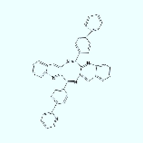 c1ccc(-c2ccc(/C3=N/c4cc5ccccc5nc4/C(c4ccc(-c5ccccn5)cc4)=N\c4cc5ccccc5nc43)cc2)nc1